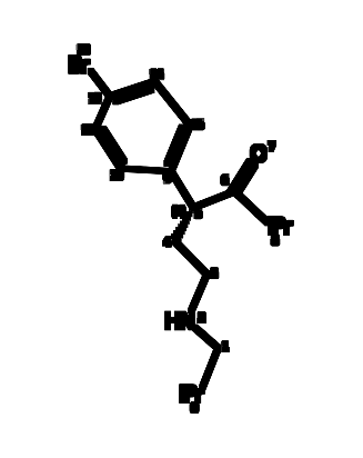 CC(C)CNCC[C@@H](C(=O)C(C)C)c1ccc(Br)cc1